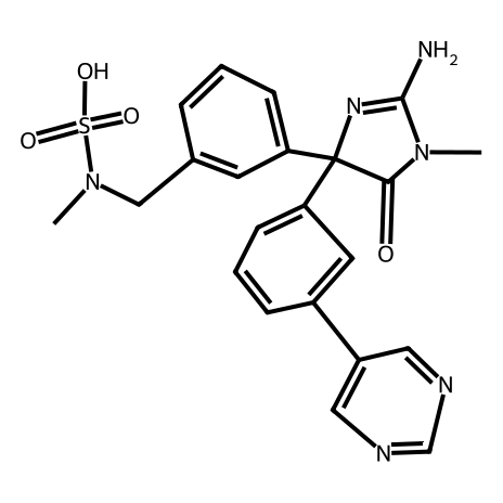 CN1C(=O)C(c2cccc(CN(C)S(=O)(=O)O)c2)(c2cccc(-c3cncnc3)c2)N=C1N